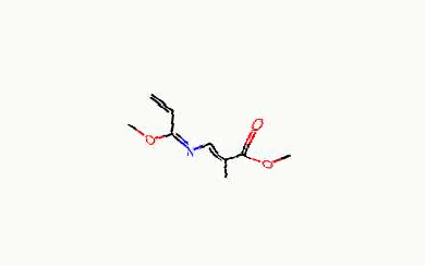 C=C/C(=N\C=C(/C)C(=O)OC)OC